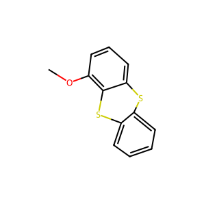 COc1cccc2c1Sc1ccccc1S2